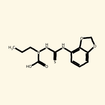 CCCN(NC(=S)Nc1cccc2c1OCO2)C(=O)O